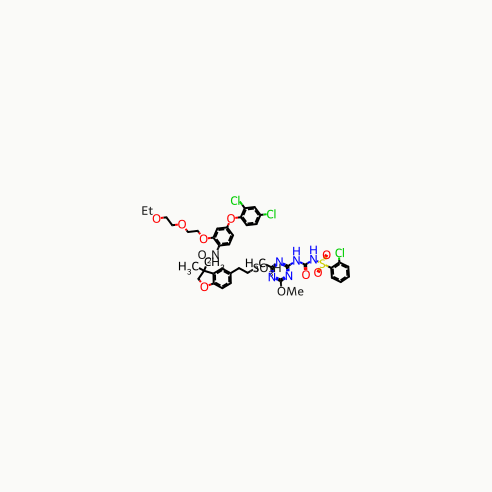 CC1(C)COc2ccc(CCS(=O)(=O)O)cc21.CCOCCOCCOc1cc(Oc2ccc(Cl)cc2Cl)ccc1[N+](=O)[O-].COc1nc(C)nc(NC(=O)NS(=O)(=O)c2ccccc2Cl)n1